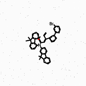 C=C/C(=C\C(=C/C)N(c1ccc2c(c1)C(C)(C)c1ccccc1-2)c1cccc2c1-c1ccccc1C2(C)C)c1cccc(-c2cccc(Br)c2)c1